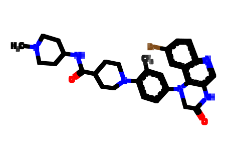 CN1CCC(NC(=O)C2CCN(c3ccc(N4CC(=O)Nc5cnc6ccc(Br)cc6c54)cc3C(F)(F)F)CC2)CC1